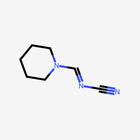 N#CN=CN1CCCCC1